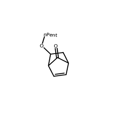 CCCCCOC1CC2C=CC1C2=O